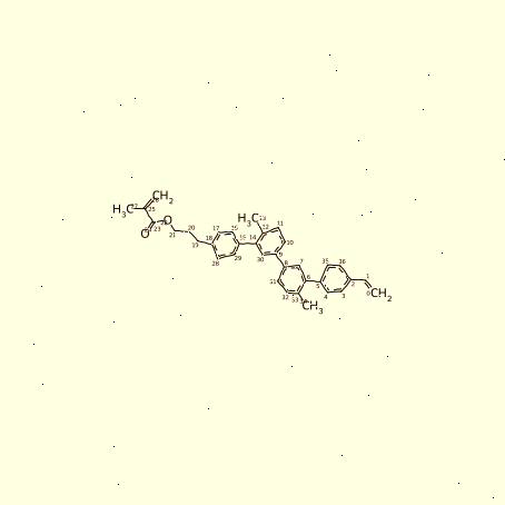 C=Cc1ccc(-c2cc(-c3ccc(C)c(-c4ccc(CCCOC(=O)C(=C)C)cc4)c3)ccc2C)cc1